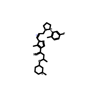 Cc1ccc(F)cc1[C@H]1CCCN1C/C=C\n1ncc(C(=N)CC(C)OC2CCC[C@H](C)C2)c1C